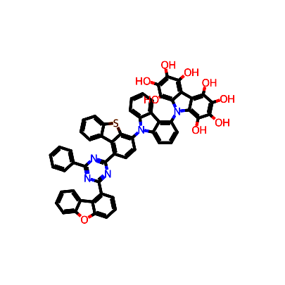 Oc1c(O)c(O)c2c(c1O)c1c(O)c(O)c(O)c(O)c1n2-c1cccc2c1c1ccccc1n2-c1ccc(-c2nc(-c3ccccc3)nc(-c3cccc4oc5ccccc5c34)n2)c2c1sc1ccccc12